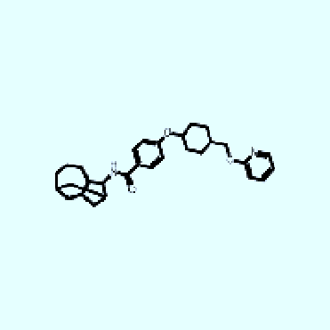 O=C(NC1C2CC3CCCC1C(C3)C2)c1ccc(OC2CCC(COc3ccccn3)CC2)cc1